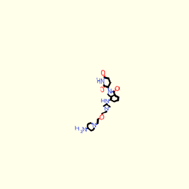 NC1CCN(CCOCCN2CC(Nc3cccc4c3CN(C3CCC(=O)NC3=O)C4=O)C2)CC1